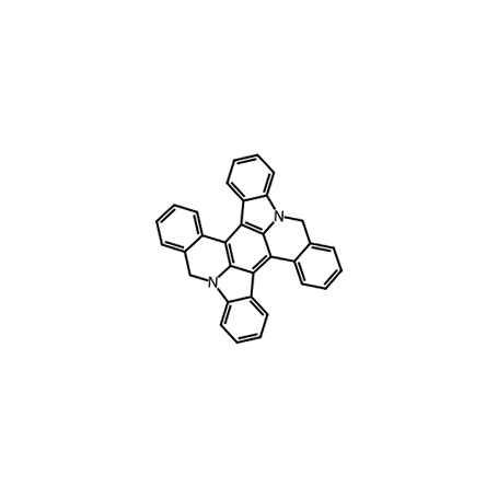 c1ccc2c(c1)Cn1c3ccccc3c3c4c5c(c-2c31)c1ccccc1n5Cc1ccccc1-4